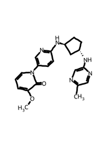 COc1cccn(-c2ccc(N[C@H]3CC[C@H](Nc4cnc(C)cn4)C3)nc2)c1=O